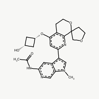 CC(=O)Nc1cc2c(-c3cc(O[C@H]4C[C@@H](O)C4)c4c(n3)C3(CCOC3)OCC4)cn(C)c2cn1